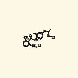 CCOC(C)Oc1ccc(PC(=O)c2c(C(F)(F)F)cccc2C(F)(F)F)c(C)c1.[Li]